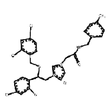 Cc1ccc(CNC(=O)Cn2cc[n+](CC(OCc3ccc(Cl)cc3Cl)c3ccc(Cl)cc3Cl)c2)cc1.[Cl-]